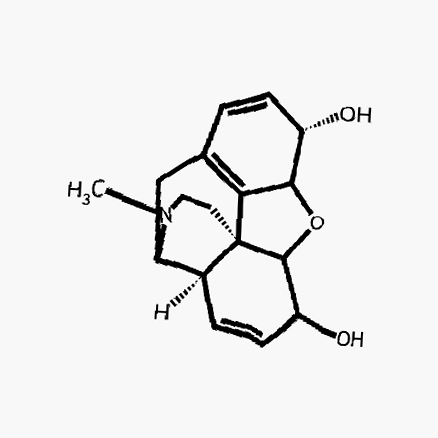 CN1CC[C@]23C4=C5C=C[C@H](O)C4OC2C(O)C=C[C@H]3C1C5